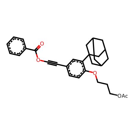 CC(=O)OCCCOc1ccc(C#COC(=O)c2ccccc2)cc1C12CC3CC(CC(C3)C1)C2